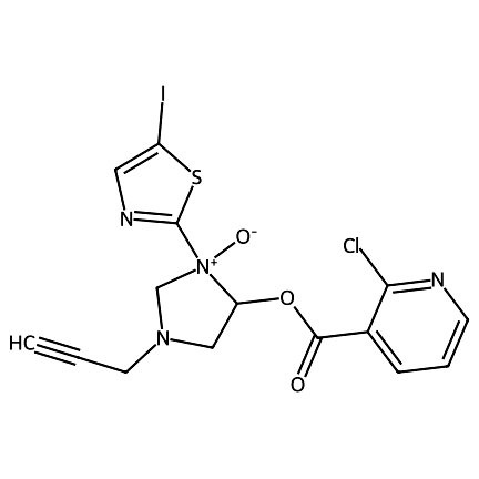 C#CCN1CC(OC(=O)c2cccnc2Cl)[N+]([O-])(c2ncc(I)s2)C1